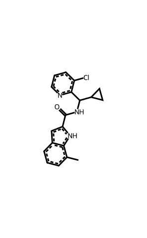 Cc1cccc2cc(C(=O)NC(c3ncccc3Cl)C3CC3)[nH]c12